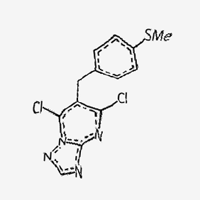 CSc1ccc(Cc2c(Cl)nc3ncnn3c2Cl)cc1